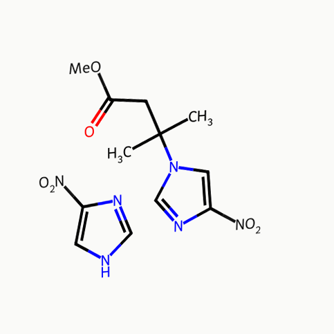 COC(=O)CC(C)(C)n1cnc([N+](=O)[O-])c1.O=[N+]([O-])c1c[nH]cn1